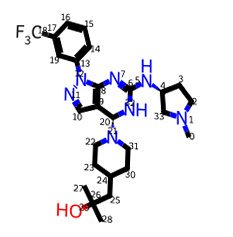 CN1CC[C@H](NC2=Nc3c(cnn3-c3cccc(C(F)(F)F)c3)[C@@H](N3CCC(CC(C)(C)O)CC3)N2)C1